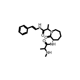 CNC(C)C(=O)N[C@H]1CCCCN(C(C)C(=O)NC=Cc2ccccc2)C1=O